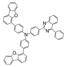 c1ccc(-c2nc(-c3ccc(N(c4ccc(-c5cccc6c5oc5ccccc56)cc4)c4ccc(-c5cccc6c5oc5ccccc56)cc4)cc3)nc3ccccc23)cc1